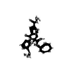 COC(=O)c1cc2n(n1)CC(C)(C(=O)NC1CCCCCC1)N(c1cccc(OC)c1)C2=O